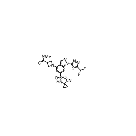 CNC(=O)C1CN(c2cc(S(=O)(=O)NC3(C#N)CC3)cc3c2cnn3-c2nnc(C(F)F)s2)C1